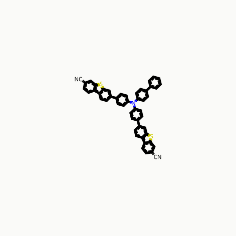 N#Cc1ccc2c(c1)sc1cc(-c3ccc(N(c4ccc(-c5ccccc5)cc4)c4ccc(-c5ccc6c(c5)sc5cc(C#N)ccc56)cc4)cc3)ccc12